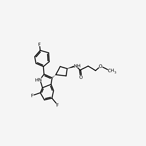 COCCC(=O)N[C@H]1C[C@H](c2c(-c3ccc(F)cc3)[nH]c3c(F)cc(F)cc32)C1